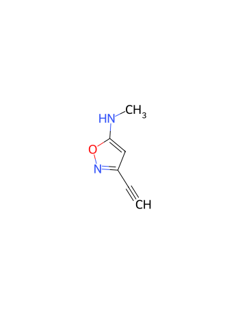 C#Cc1cc(NC)on1